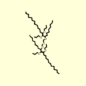 CCCCCCCCCCCCC(OCCC)=C(OCCC)C(CCCCCCCC)OCOCOC(CCCCCCCC)C(OCCC)=C(CCCCCCCCCCCC)OCCC